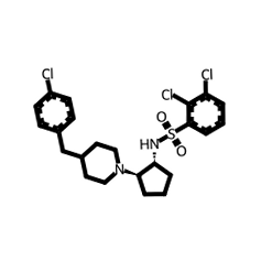 O=S(=O)(N[C@@H]1CCC[C@H]1N1CCC(Cc2ccc(Cl)cc2)CC1)c1cccc(Cl)c1Cl